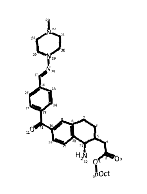 CCCCCCCCOC(=O)CC1CCc2cc(C(=O)c3ccc(C=NN4CCN(C)CC4)cc3)ccc2C1N